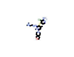 Cc1cc(N2CCC3(CCOC3)CC2)n(C)/c(=N\N=C\CN(C)C)c1Sc1ccnc(N)c1Cl